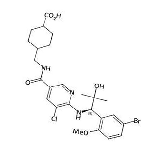 COc1ccc(Br)cc1[C@@H](Nc1ncc(C(=O)NCC2CCC(C(=O)O)CC2)cc1Cl)C(C)(C)O